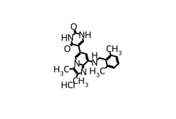 Cc1cccc(C)c1CNc1cc(-c2c[nH]c(=O)[nH]c2=O)cn2c(C)c(C)nc12.Cl